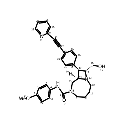 COc1ccc(NC(=O)N2CCCCN3[C@@H](CO)[C@H](c4ccc(C#Cc5ccccn5)cc4)[C@@H]3C2)cc1